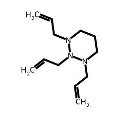 C=CCN1CCCN(CC=C)N1CC=C